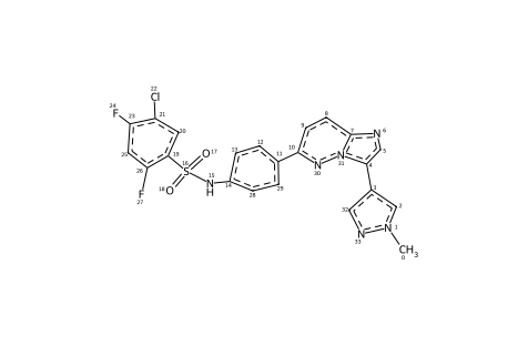 Cn1cc(-c2cnc3ccc(-c4ccc(NS(=O)(=O)c5cc(Cl)c(F)cc5F)cc4)nn23)cn1